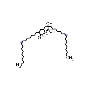 CCCCCCCC/C=C\CCCCCCC(CCCC(O)(CCCCCC/C=C\CCCCCCCC)C(=O)O)C(=O)O